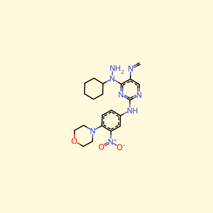 C=Nc1cnc(Nc2ccc(N3CCOCC3)c([N+](=O)[O-])c2)nc1N(N)C1CCCCC1